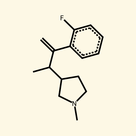 C=C(c1ccccc1F)C(C)C1CCN(C)C1